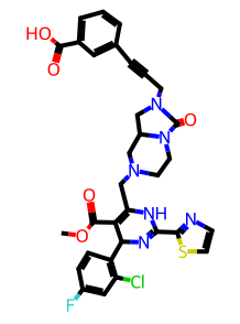 COC(=O)C1=C(CN2CCN3C(=O)N(CC#Cc4cccc(C(=O)O)c4)CC3C2)NC(c2nccs2)=NC1c1ccc(F)cc1Cl